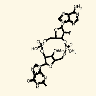 B[P@]1(=O)OCC2OC(n3cnc4c(=O)[nH]c(C)nc43)C(OP(=O)(O)OCC3OC(n4cnc5c(N)ncnc54)C(F)C3O1)C2OC